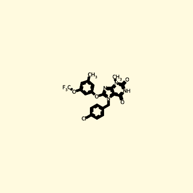 Cc1cc(Oc2nc3c(c(=O)[nH]c(=O)n3C)n2Cc2ccc(Cl)cc2)cc(OC(F)(F)F)c1